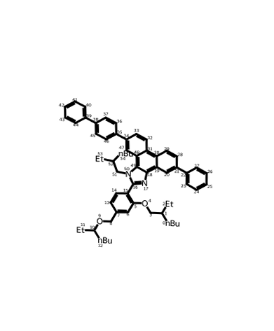 CCCCC(CC)COc1cc(COC(CC)CCCC)ccc1-c1nc2c3cc(-c4ccccc4)ccc3c3ccc(-c4ccc(-c5ccccc5)cc4)cc3c2n1CC(CC)CCCC